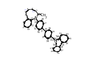 C=C1/C=C\C=C/Cc2ccccc2N1c1ccc(-c2ccc(-n3c4ccccc4c4ccccc43)cc2)cc1